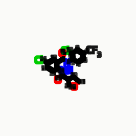 O=C(Nc1ccc(C(F)(F)F)cc1Cl)c1cc(Cl)ccc1NC(=O)C1CCOC1